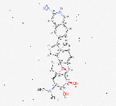 CN(C)[C@H]1C[C@@]23CC[C@@]4(O2)C(=CC[C@]2(C)C(c5ccc6cnc(N)cc6c5)=CCC24)C=C3[C@@H](O)[C@@H]1O